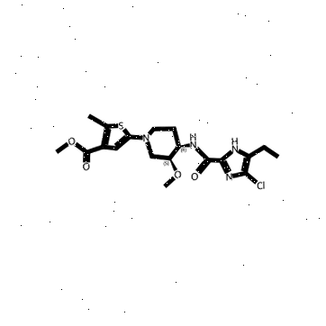 CCc1[nH]c(C(=O)N[C@@H]2CCN(c3cc(C(=O)OC)c(C)s3)C[C@@H]2OC)nc1Cl